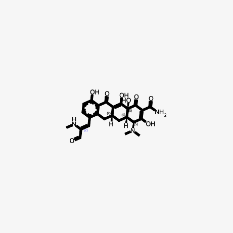 CN/C(C=O)=C\c1ccc(O)c2c1C[C@H]1C[C@H]3[C@H](N(C)C)C(O)=C(C(N)=O)C(=O)[C@@]3(O)C(O)=C1C2=O